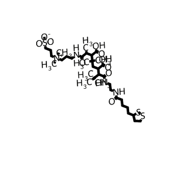 CC(C(=O)NCCC[N+](C)(C)CCCS(=O)(=O)[O-])C(C(=O)O)C(C)(C)CC(C(=O)O)C(C(=O)NCCNC(=O)CCCCC1CCSS1)C(C)(C)C